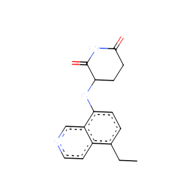 CCc1ccc(NC2CCC(=O)NC2=O)c2cnccc12